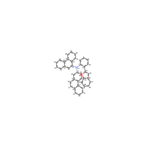 c1ccc(N(c2ccc3c(ccc4ccccc43)c2)c2cc3ccccc3c3ccccc23)c(-c2cc3ccccc3o2)c1